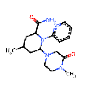 CC1CC(C(N)=O)N(c2[c]cccn2)C(N2CCN(C)C(=O)C2)C1